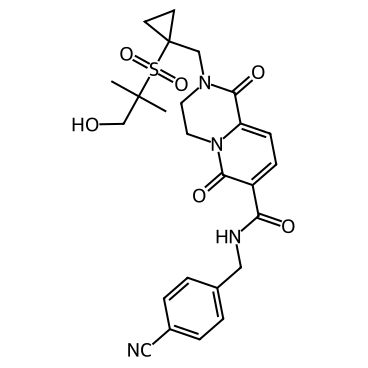 CC(C)(CO)S(=O)(=O)C1(CN2CCn3c(ccc(C(=O)NCc4ccc(C#N)cc4)c3=O)C2=O)CC1